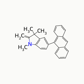 C=C1N(C)c2ccc(-c3c4ccccc4cc4ccccc34)cc2C1(C)C